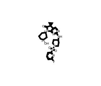 O=C1N([C@@H]2CCC[C@@H](O)C2)c2nc(NC3CCN(S(=O)(=O)c4cccc(F)n4)CC3)ncc2C12CC2